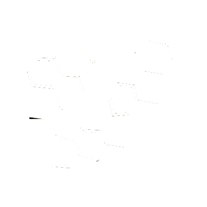 CC(=O)N1CCC(c2ccc(-c3nc4c([C@@H](C)Nc5ccc(Cl)nc5C(=O)NS(C)(=O)=O)cc(C)cc4c(=O)n3C)cc2F)CC1